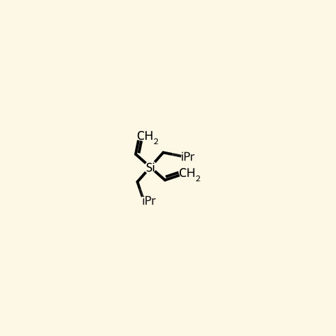 C=C[Si](C=C)(CC(C)C)CC(C)C